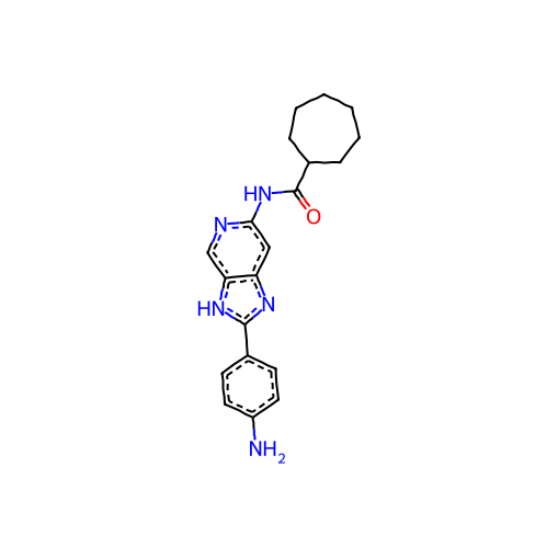 Nc1ccc(-c2nc3cc(NC(=O)C4CCCCCC4)ncc3[nH]2)cc1